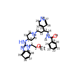 CCOCCn1c(NC2CCN(CCC(CN(C)C(=O)c3ccccc3)c3ccncc3)CC2)nc2ccccc21